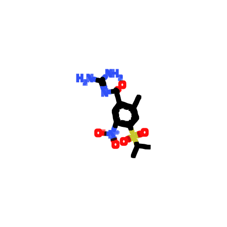 Cc1cc(S(=O)(=O)C(C)C)c([N+](=O)[O-])cc1C(=O)N=C(N)N